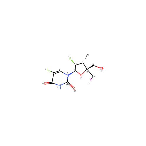 C[C@H]1[C@H](F)[C@H](n2cc(F)c(=O)[nH]c2=O)O[C@@]1(CO)CI